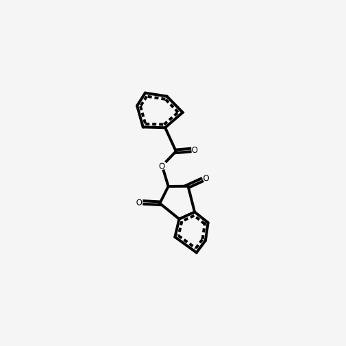 O=C(OC1C(=O)c2ccccc2C1=O)c1ccccc1